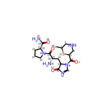 CC1CNCC(C(=O)N2C=NC(=O)C2C[C@H](N)C(=O)N2CCC[C@H]2C(N)=O)S1